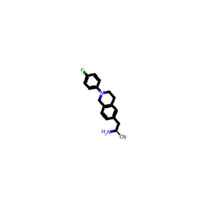 N#C[C@@H](N)Cc1ccc2c(c1)CCN(c1ccc(F)cc1)C2